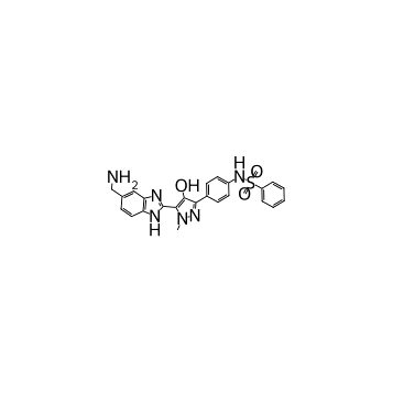 Cn1nc(-c2ccc(NS(=O)(=O)c3ccccc3)cc2)c(O)c1-c1nc2cc(CN)ccc2[nH]1